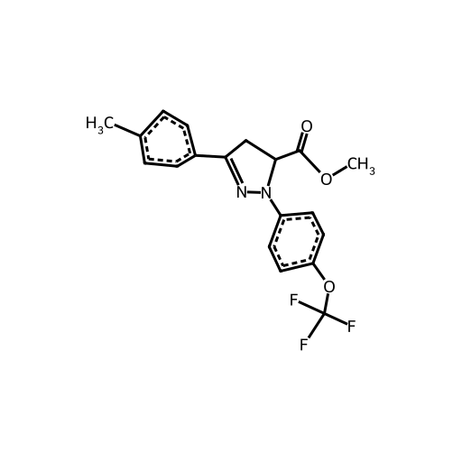 COC(=O)C1CC(c2ccc(C)cc2)=NN1c1ccc(OC(F)(F)F)cc1